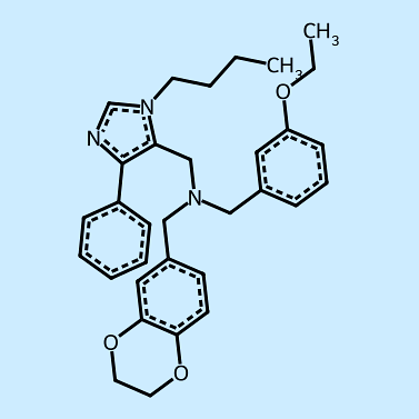 CCCCn1cnc(-c2ccccc2)c1CN(Cc1cccc(OCC)c1)Cc1ccc2c(c1)OCCO2